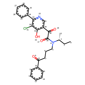 CC[C@@H](C)N(CCCC(=O)c1ccccc1)C(=O)C(=O)c1cnc(-c2ccccc2)c(Cl)c1O